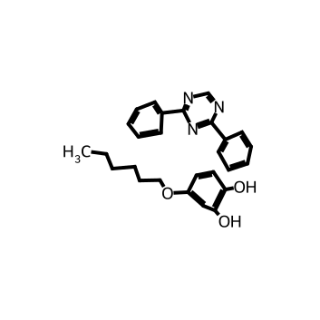 CCCCCCOc1ccc(O)c(O)c1.c1ccc(-c2ncnc(-c3ccccc3)n2)cc1